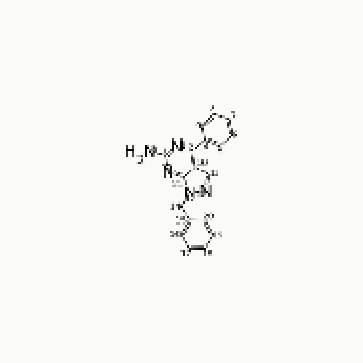 Nc1nc(-c2ccccc2)c2cnn(Cc3ccccc3)c2n1